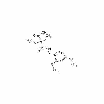 CCC(CC)(C(=O)O)C(=O)NCc1ccc(OC)cc1OC